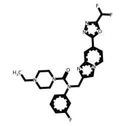 CCN1CCN(C(=O)N(Cc2cn3ccc(-c4nnc(C(F)F)o4)cc3n2)c2cccc(F)c2)CC1